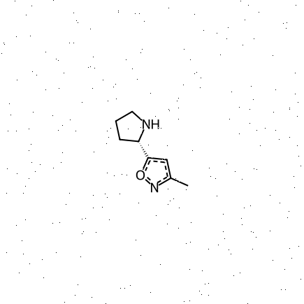 Cc1cc([C@@H]2CCCN2)on1